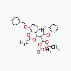 CC(=O)Oc1c(C(OC(C)=O)OC(C)=O)c(=O)n(Cc2ccccc2)c2ccc(OCc3ccccc3)cc12